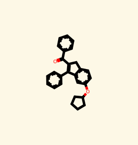 O=C(C1=C(c2ccccc2)c2cc(OC3CCCC3)ccc2C1)c1ccccc1